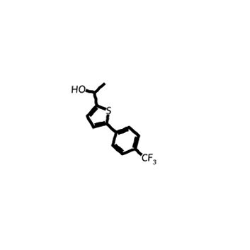 CC(O)c1ccc(-c2ccc(C(F)(F)F)cc2)s1